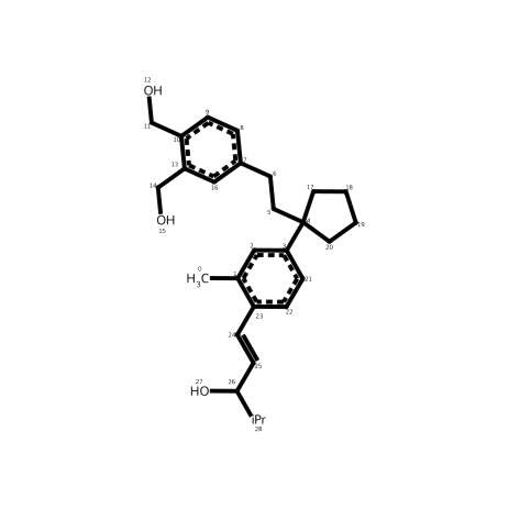 Cc1cc(C2(CCc3ccc(CO)c(CO)c3)CCCC2)ccc1C=CC(O)C(C)C